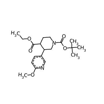 CCOC(=O)C1CCN(C(=O)OC(C)(C)C)CC1c1ccc(OC)nc1